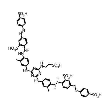 Cc1cc(Nc2nc(NCCS(=O)(=O)O)nc(Nc3ccc(NNc4ccc(N=Nc5ccc(S(=O)(=O)O)cc5)cc4S(=O)(=O)O)c(C)c3)n2)ccc1NNc1ccc(N=Nc2ccc(S(=O)(=O)O)cc2)cc1S(=O)(=O)O